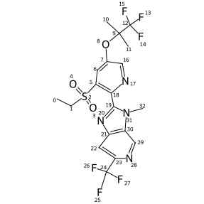 CCS(=O)(=O)c1cc(OC(C)(C)C(F)(F)F)cnc1-c1nc2cc(C(F)(F)F)ncc2n1C